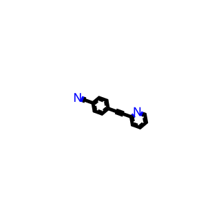 N#Cc1ccc(C#Cc2ccccn2)cc1